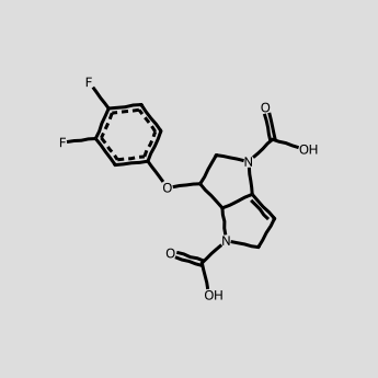 O=C(O)N1CC(Oc2ccc(F)c(F)c2)C2C1=CCN2C(=O)O